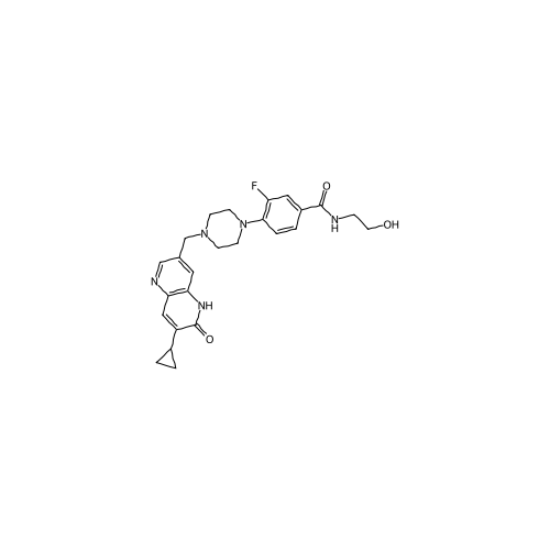 O=C(NCCO)c1ccc(N2CCN(Cc3cnc4cc(C5CC5)c(=O)[nH]c4c3)CC2)c(F)c1